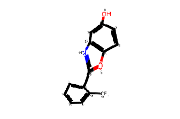 Oc1ccc2oc(-c3ccccc3C(F)(F)F)nc2c1